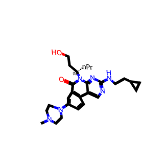 CCC[C@@H](CCO)n1c(=O)c2cc(N3CCN(C)CC3)ccc2c2cnc(NCCC3CC3)nc21